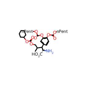 CCCCCOC(=O)Oc1ccc(C(C(C)COC(=O)OC2CCCCC2)[C@H](N)C(=O)O)cc1OC(=O)OCCCCC